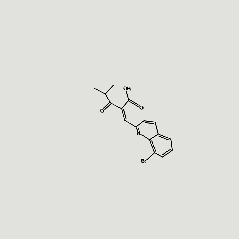 CC(C)C(=O)C(=Cc1ccc2cccc(Br)c2n1)C(=O)O